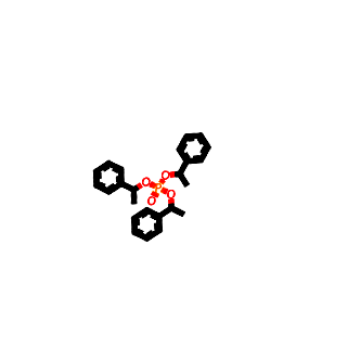 CC(OP(=O)(OC(C)c1ccccc1)OC(C)c1ccccc1)c1ccccc1